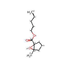 CCCCCOC(=O)C12CCCC1(C)O2